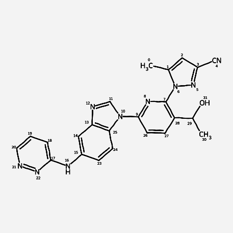 Cc1cc(C#N)nn1-c1nc(-n2cnc3cc(Nc4cccnn4)ccc32)ccc1C(C)O